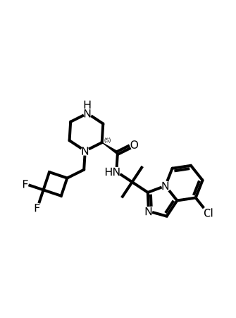 CC(C)(NC(=O)[C@@H]1CNCCN1CC1CC(F)(F)C1)c1ncc2c(Cl)cccn12